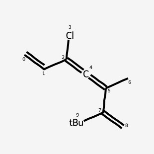 C=CC(Cl)=C=C(C)C(=C)C(C)(C)C